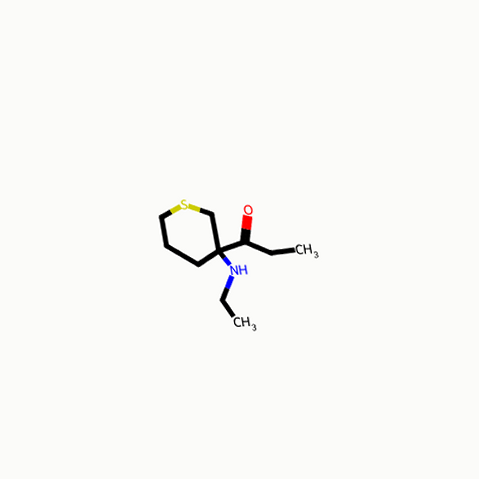 CCNC1(C(=O)CC)CCCSC1